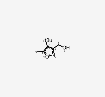 Cc1onc(CO)c1C(C)(C)C